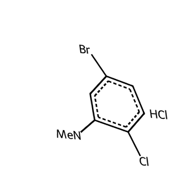 CNc1cc(Br)ccc1Cl.Cl